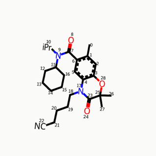 Cc1cc2c(cc1C(=O)N(C(C)C)C1CCCCC1)N(CCCCC#N)C(=O)C(C)(C)O2